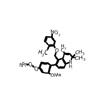 CCCOOc1ccc(-c2ccc3c(c2COc2cc([N+](=O)[O-])ccc2C)C(C)=CC(C)(C)N3)c(OC)c1